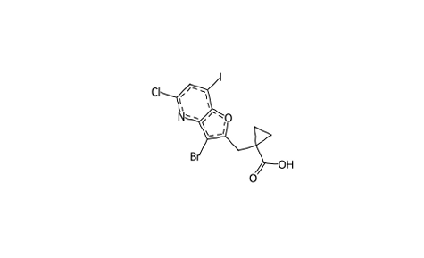 O=C(O)C1(Cc2oc3c(I)cc(Cl)nc3c2Br)CC1